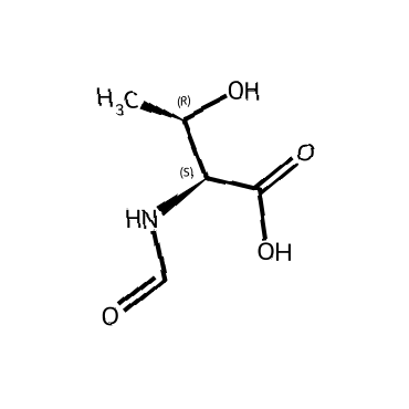 C[C@@H](O)[C@H](NC=O)C(=O)O